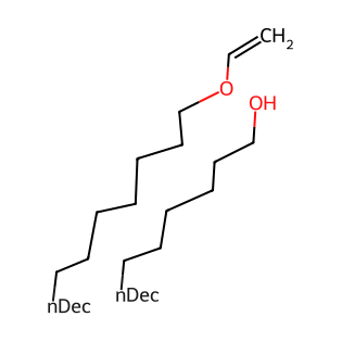 C=COCCCCCCCCCCCCCCCCC.CCCCCCCCCCCCCCCCO